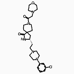 O=C(CN1CCOCC1)N1CCC2(CC1)C[C@H](CCN1CCN(c3cccc(Cl)c3)CC1)NC2=O